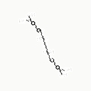 O=C(CCSSCCC(=O)NCCC[n+]1ccc(/C=C/c2ccc(N(CCO)CCO)cc2)cc1)NCCCN1C=CC(/C=C/c2ccc(N(CCO)CCO)cc2)=CC1